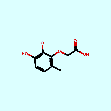 Cc1ccc(O)c(O)c1OCC(=O)O